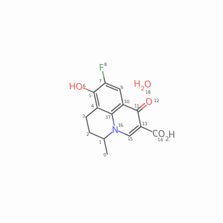 CC1CCc2c(O)c(F)cc3c(=O)c(C(=O)O)cn1c23.O